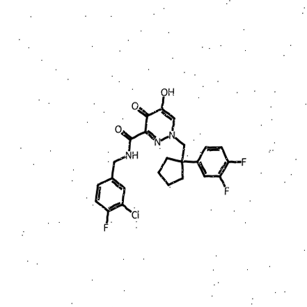 O=C(NCc1ccc(F)c(Cl)c1)c1nn(CC2(c3ccc(F)c(F)c3)CCCC2)cc(O)c1=O